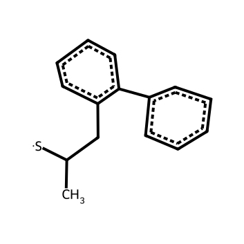 CC([S])Cc1ccccc1-c1ccccc1